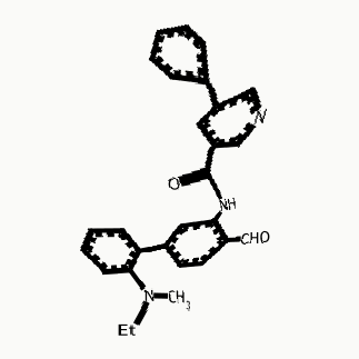 CCN(C)c1ccccc1-c1ccc(C=O)c(NC(=O)c2cncc(-c3ccccc3)c2)c1